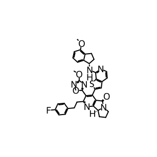 COc1noc(-c2c(CCc3ccc(F)cc3)nc3c(c2-c2cc4ccnc(N[C@@H]5CCc6c(OC)cccc65)c4s2)C(=O)N2CCC[C@@H]32)n1